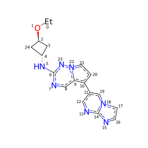 CCO[C@H]1C[C@H](Nc2ncc3c(-c4cnc5nccn5c4)ccn3n2)C1